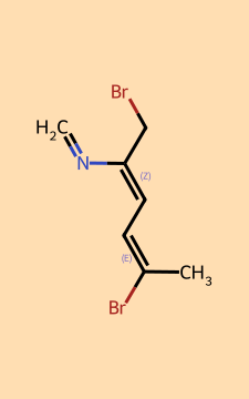 C=N/C(=C\C=C(/C)Br)CBr